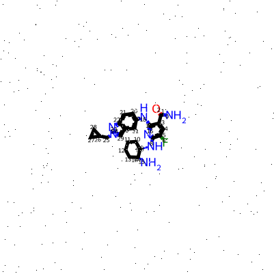 NC(=O)c1cc(F)c(N[C@@H]2CCCC[C@@H]2N)nc1Nc1ccc2nn(CC3CC3)cc2c1